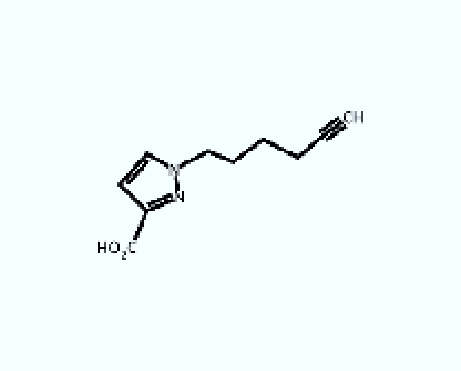 C#CCCCCn1ccc(C(=O)O)n1